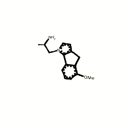 COc1cccc2c1Cc1ccn(C[C@@H](C)N)c1-2